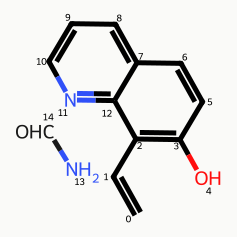 C=Cc1c(O)ccc2cccnc12.NC=O